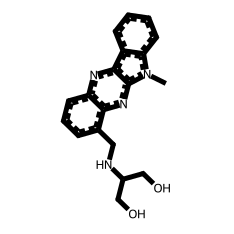 Cn1c2ccccc2c2nc3cccc(CNC(CO)CO)c3nc21